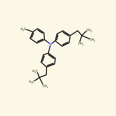 Cc1ccc(N(c2ccc(CC(C)(C)C)cc2)c2ccc(CC(C)(C)C)cc2)cc1